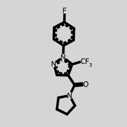 O=C(c1cnn(-c2ccc(F)cc2)c1C(F)(F)F)N1CCCC1